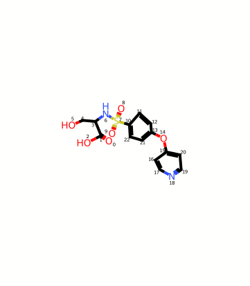 O=C(O)C(CO)NS(=O)(=O)c1ccc(Oc2ccncc2)cc1